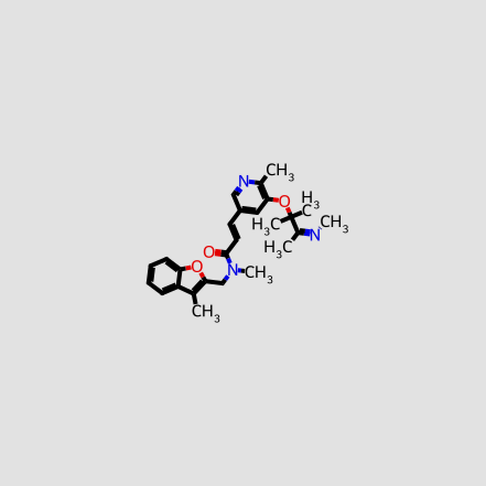 C/N=C(/C)C(C)(C)Oc1cc(/C=C/C(=O)N(C)Cc2oc3ccccc3c2C)cnc1C